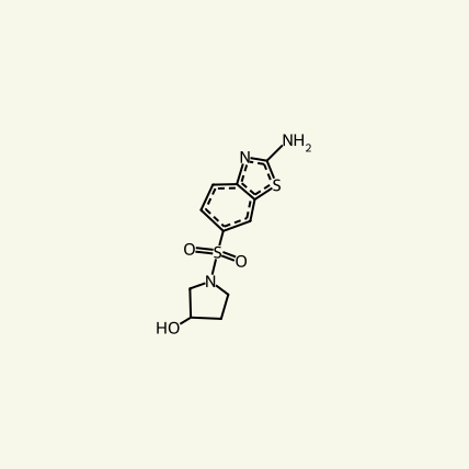 Nc1nc2ccc(S(=O)(=O)N3CCC(O)C3)cc2s1